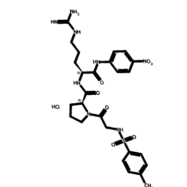 Cc1ccc(S(=O)(=O)NCC(=O)N2CCC[C@H]2C(=O)N[C@@H](CCCNC(=N)N)C(=O)Nc2ccc([N+](=O)[O-])cc2)cc1.Cl